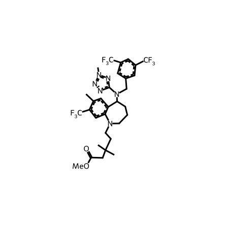 COC(=O)CC(C)(C)CCN1CCCC(N(Cc2cc(C(F)(F)F)cc(C(F)(F)F)c2)c2nnn(C)n2)c2cc(C)c(C(F)(F)F)cc21